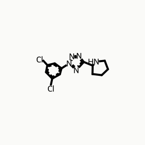 Clc1cc(Cl)cc(-n2nnc(C3CCCCN3)n2)c1